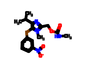 CNC(=O)OCc1nc(C(C)C)c(Sc2cccc([N+](=O)[O-])c2)n1C